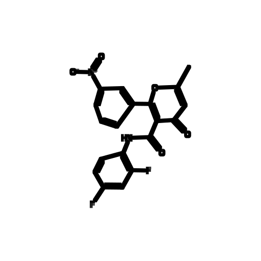 Cc1cc(=O)c(C(=O)Nc2ccc(F)cc2F)c(-c2cccc([N+](=O)[O-])c2)o1